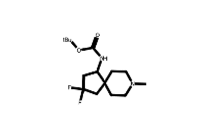 CN1CCC2(CC1)CC(F)(F)CC2NC(=O)OC(C)(C)C